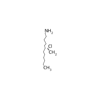 C=CCl.CCCCCCCCCCCCN